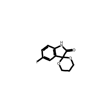 O=C1Nc2ccc(I)cc2C12OCCCO2